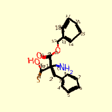 NC(Cc1ccccc1)(C(=O)OCc1ccccc1)C(O)=S